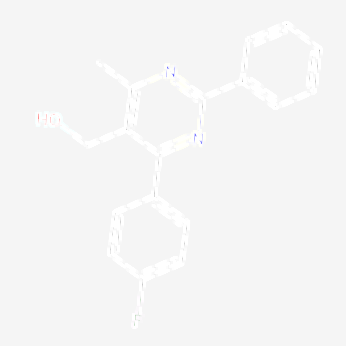 Cc1nc(-c2ccccc2)nc(-c2ccc(F)cc2)c1CO